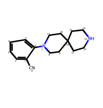 N#Cc1ccccc1N1CCC2(CCNCC2)CC1